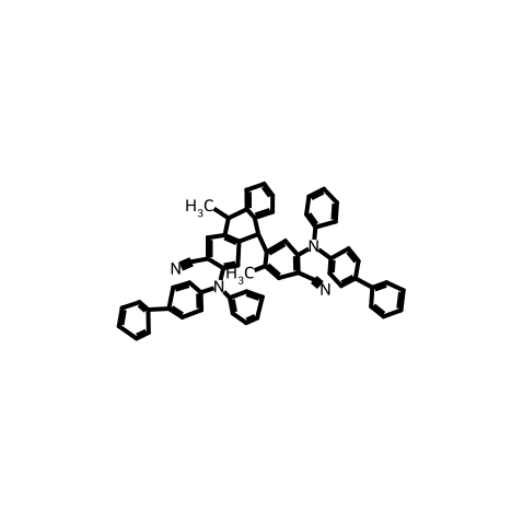 Cc1cc(C#N)c(N(c2ccccc2)c2ccc(-c3ccccc3)cc2)cc1C1c2ccccc2C(C)c2cc(C#N)c(N(c3ccccc3)c3ccc(-c4ccccc4)cc3)cc21